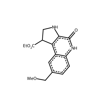 CCOC(=O)C1CNc2c1c1cc(COC)ccc1[nH]c2=O